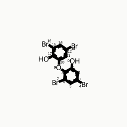 Oc1cc(Br)cc(Br)c1Oc1cc(Br)cc(Br)c1O